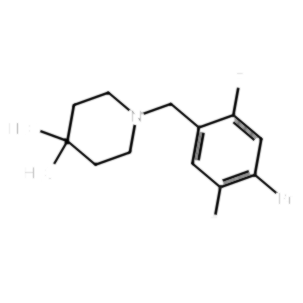 CC1(C)CCN(Cc2cc(F)c(Br)cc2F)CC1